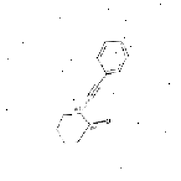 O[C@H]1CCCC[C@@H]1C#Cc1ccccc1